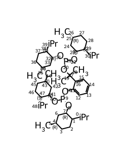 CC(C)C1CC[C@@H](C)C[C@H]1OP(Oc1ccccc1C(C)(C)OP(O[C@@H]1C[C@H](C)CC[C@H]1C(C)C)O[C@@H]1C[C@H](C)CC[C@H]1C(C)C)O[C@@H]1C[C@H](C)CC[C@H]1C(C)C